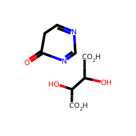 O=C(O)C(O)C(O)C(=O)O.O=C1CC=NC=N1